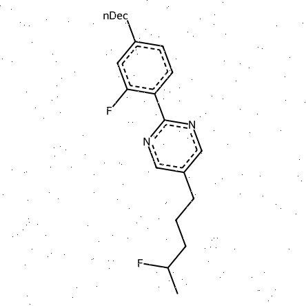 CCCCCCCCCCc1ccc(-c2ncc(CCCC(C)F)cn2)c(F)c1